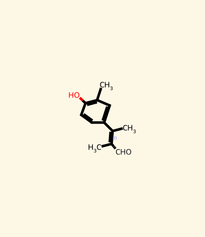 C/C(C=O)=C(/C)c1ccc(O)c(C)c1